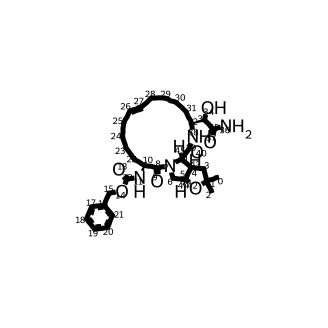 CC1(C)C[C@H]2[C@H](CN3C(=O)[C@@H](NC(=O)OCc4ccccc4)CCCC/C=C/CCCC[C@@H](C(O)C(N)=O)NC(=O)[C@H]23)O1